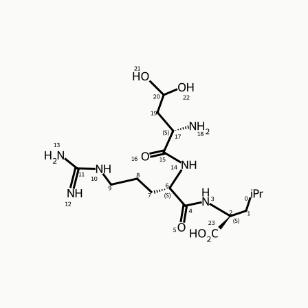 CC(C)C[C@H](NC(=O)[C@H](CCCNC(=N)N)NC(=O)[C@@H](N)CC(O)O)C(=O)O